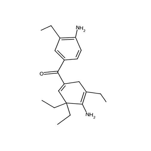 CCC1=C(N)C(CC)(CC)C=C(C(=O)c2ccc(N)c(CC)c2)C1